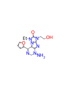 CCn1c(=O)n(CCO)c2nc3c(n21)C(c1ccco1)=NCN3N